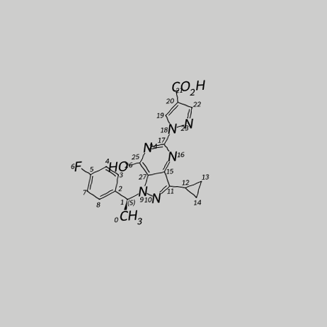 C[C@@H](c1ccc(F)cc1)n1nc(C2CC2)c2nc(-n3cc(C(=O)O)cn3)nc(O)c21